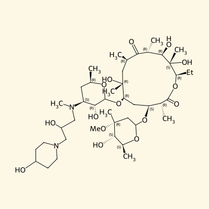 CC[C@H]1OC(=O)[C@H](C)[C@@H](OC2C[C@@](C)(OC)[C@@H](O)[C@H](C)O2)C[C@@H](OC2O[C@H](C)C[C@H](N(C)CC(O)CN3CCC(O)CC3)[C@H]2O)[C@](C)(O)C[C@@H](C)C(=O)[C@H](C)[C@@H](O)[C@]1(C)O